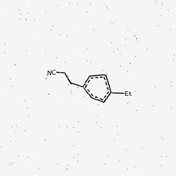 CCc1ccc(CCC#N)cc1